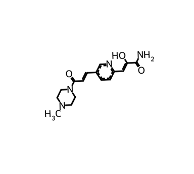 CN1CCN(C(=O)/C=C/c2ccc(/C=C(\O)C(N)=O)nc2)CC1